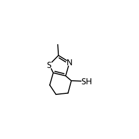 Cc1nc2c(s1)CCCC2S